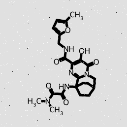 Cc1ccc(CNC(=O)c2nc3n(c(=O)c2O)CC2CCC3(NC(=O)C(=O)N(C)C)CC2)o1